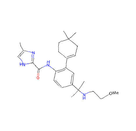 COCCNC(C)(C)c1ccc(NC(=O)c2nc(C)c[nH]2)c(C2=CCC(C)(C)CC2)c1